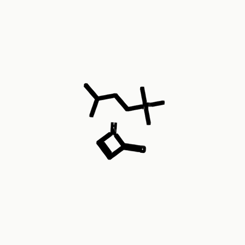 CC(C)CC[N+](C)(C)C.O=C1C=CN1